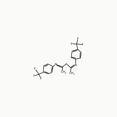 C/C(C/C(C)=N/c1ccc(C(F)(F)F)cc1)=N/c1ccc(C(F)(F)F)cc1